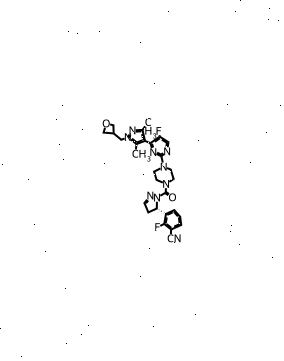 Cc1nn(CC2COC2)c(C)c1-c1nc(N2CCN(C(=O)N3N=CC[C@H]3c3cccc(C#N)c3F)CC2)ncc1F